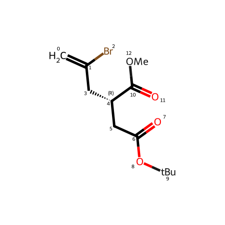 C=C(Br)C[C@@H](CC(=O)OC(C)(C)C)C(=O)OC